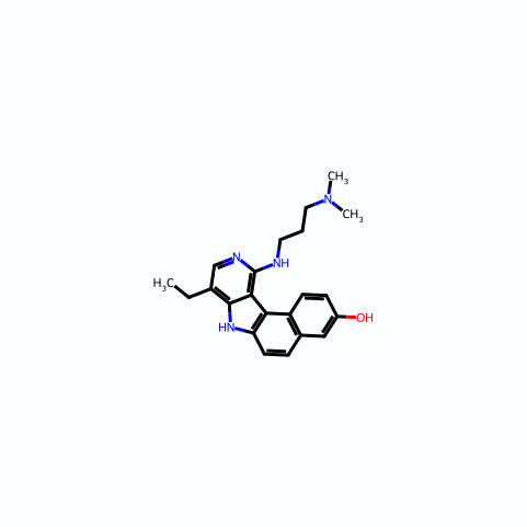 CCc1cnc(NCCCN(C)C)c2c1[nH]c1ccc3cc(O)ccc3c12